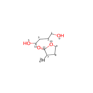 OCCCCO.[2H]C1CCOC1=O